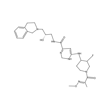 CON=C(C)C(=O)N1CCC(NC2=CC(C(=O)NC[C@H](O)CN3CCc4ccccc4C3)=NCN2)C(F)C1